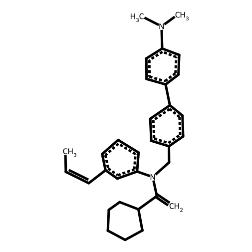 C=C(C1CCCCC1)N(Cc1ccc(-c2ccc(N(C)C)cc2)cc1)c1cccc(/C=C\C)c1